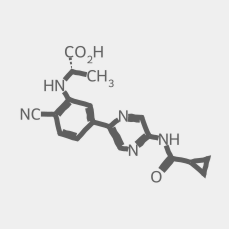 C[C@H](Nc1cc(-c2cnc(NC(=O)C3CC3)cn2)ccc1C#N)C(=O)O